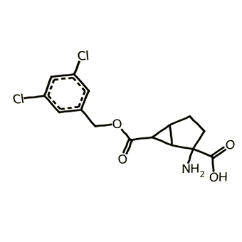 NC1(C(=O)O)CCC2C(C(=O)OCc3cc(Cl)cc(Cl)c3)C21